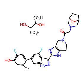 CCc1cc(O)c(F)cc1-c1cc(F)c2c(-c3nc4c([nH]3)CCN(C(=O)CN3CC5CCC(C3)O5)C4)n[nH]c2c1.O=C(O)C(O)C(O)C(=O)O